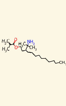 C=C(C)C(=O)OCCC(CCCCCCCCCC)C(C)(C)N